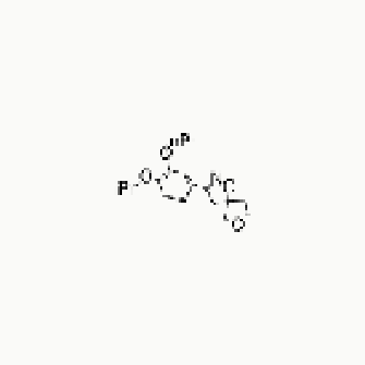 CCCOc1cc(C2=NOC3(CCOC3)C2)ccc1OC(C)C